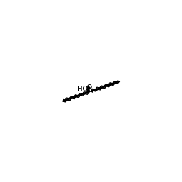 CCCCCCCCCCCCCC[C@H](CCCCCCCCCCCC)C(=O)O